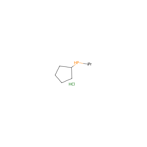 CC(C)PC1CCCC1.Cl